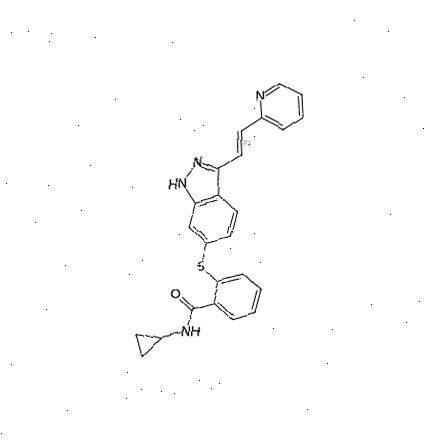 O=C(NC1CC1)c1ccccc1Sc1ccc2c(/C=C/c3ccccn3)n[nH]c2c1